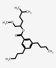 CCCCc1cc(CCCC)cc(C(=O)OC(CCC(C)C)COC)c1